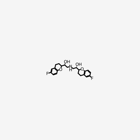 O[C@@H](CNC[C@H](O)C1CCc2cc(F)ccc2O1)C1CCc2cc(F)ccc2O1